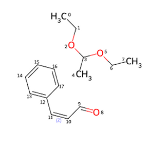 CCOC(C)OCC.O=C/C=C\c1ccccc1